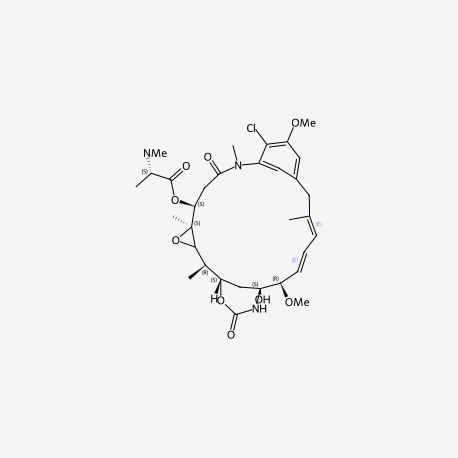 CN[C@@H](C)C(=O)O[C@H]1CC(=O)N(C)c2cc(cc(OC)c2Cl)C/C(C)=C/C=C/[C@@H](OC)[C@@]2(O)C[C@H](OC(=O)N2)[C@@H](C)C2O[C@]21C